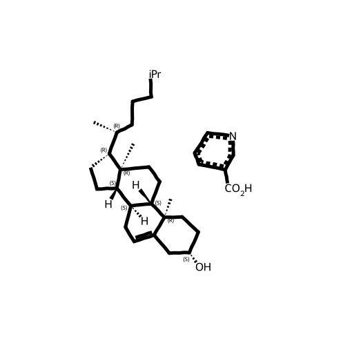 CC(C)CCC[C@@H](C)[C@H]1CC[C@H]2[C@@H]3CC=C4C[C@@H](O)CC[C@]4(C)[C@H]3CC[C@]12C.O=C(O)c1cccnc1